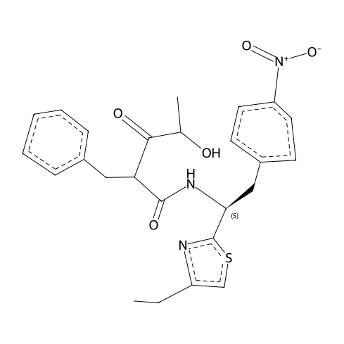 CCc1csc([C@H](Cc2ccc([N+](=O)[O-])cc2)NC(=O)C(Cc2ccccc2)C(=O)C(C)O)n1